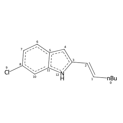 CCCCC=Cc1cc2ccc(Cl)cc2[nH]1